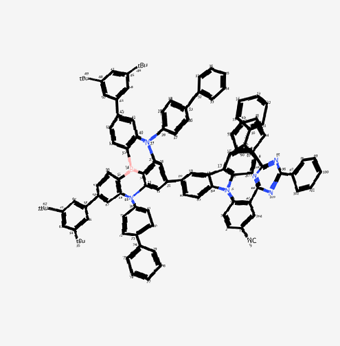 [C-]#[N+]c1ccc(-n2c3ccc(-c4ccccc4)cc3c3cc(-c4cc5c6c(c4)N(c4ccc(-c7ccccc7)cc4)c4cc(-c7cc(C(C)(C)C)cc(C(C)(C)C)c7)ccc4B6c4ccc(-c6cc(C(C)(C)C)cc(C(C)(C)C)c6)cc4N5c4ccc(-c5ccccc5)cc4)ccc32)c(-c2nc(-c3ccccc3)nc(-c3ccccc3)n2)c1